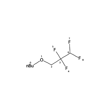 [CH2]CCCOCC(F)(F)C(F)F